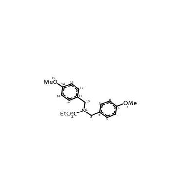 [CH2]COC(=O)N(Cc1ccc(OC)cc1)Cc1ccc(OC)cc1